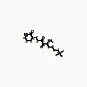 C[N+](C)(C)CCCC[C@H](N)C(=O)C(=O)CC[C@@H]1CCCNC1=O